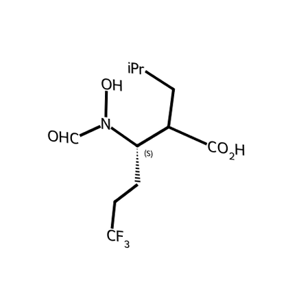 CC(C)CC(C(=O)O)[C@H](CCC(F)(F)F)N(O)C=O